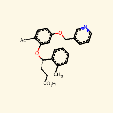 CC(=O)c1ccc(OCc2cccnc2)cc1O[C@@H](CCC(=O)O)c1ccccc1C